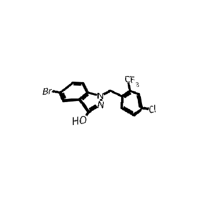 Oc1nn(Cc2ccc(Cl)cc2C(F)(F)F)c2ccc(Br)cc12